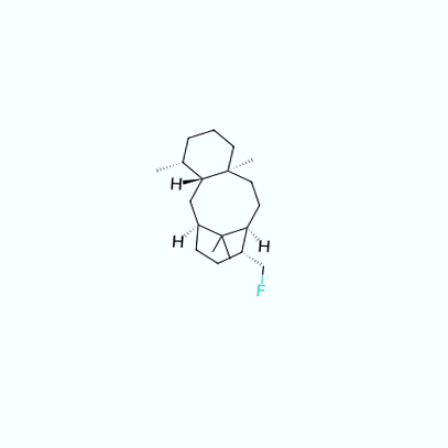 C[C@@H]1CCC[C@@]2(C)CC[C@H]3[C@H](CF)CC[C@@H](C[C@H]12)C3(C)C